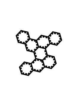 c1ccc2c(c1)cc1c3c4ccccc4cc4cccc(c43)c3c4ccccc4cc2c13